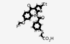 CCc1cc(C(=O)c2ccc(OCF)cc2)c(NC(=O)c2cccc(SCC(=O)O)c2)s1